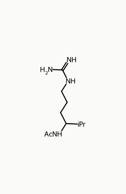 CC(=O)NC(CCCNC(=N)N)C(C)C